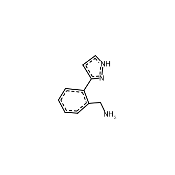 NCc1ccccc1-c1cc[nH]n1